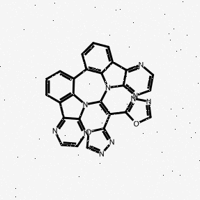 c1cc2c3cccc4c5nccnc5n(c(=C(c5nnco5)c5nnco5)n5c6nccnc6c(c1)c25)c34